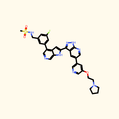 CS(=O)(=O)NCc1cc(F)cc(-c2cncc3[nH]c(-c4n[nH]c5ncc(-c6cncc(OCCN7CCCC7)c6)cc45)cc23)c1